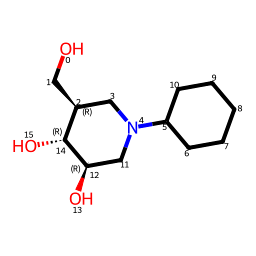 OC[C@H]1CN(C2CCCCC2)C[C@@H](O)[C@@H]1O